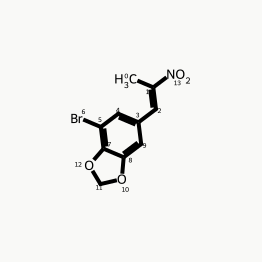 C/C(=C\c1cc(Br)c2c(c1)OCO2)[N+](=O)[O-]